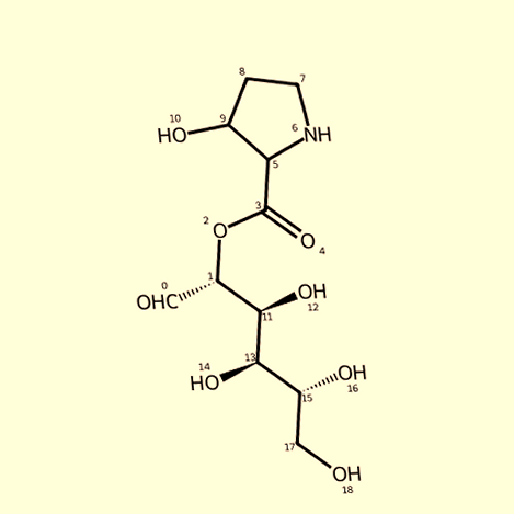 O=C[C@H](OC(=O)C1NCCC1O)[C@@H](O)[C@H](O)[C@H](O)CO